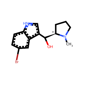 CN1CCC[C@@H]1C(O)c1c[nH]c2ccc(Br)cc12